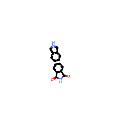 O=C1NC(=O)c2ccccc21.c1ccc2c[nH]cc2c1